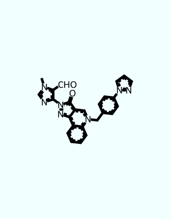 Cn1cnc(-n2nc3c4ccccc4n(Cc4ccc(-n5cccn5)cc4)cc-3c2=O)c1C=O